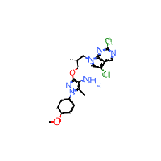 COC1CCC(n2nc(OC[C@H](C)Cn3cc(Cl)c4cnc(Cl)nc43)c(N)c2C)CC1